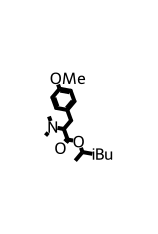 CCC(C)C(C)OC(=O)C(Cc1ccc(OC)cc1)N(C)C